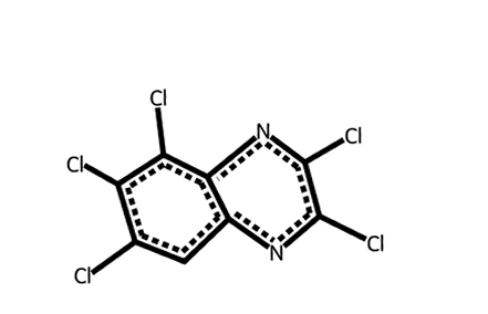 Clc1cc2nc(Cl)c(Cl)nc2c(Cl)c1Cl